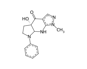 Cn1ncc2c1NC1N(c3ccccc3)CC[C@@]1(O)C2=O